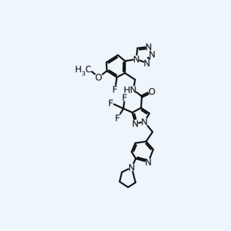 COc1ccc(-n2cnnn2)c(CNC(=O)c2cn(Cc3ccc(N4CCCC4)nc3)nc2C(F)(F)F)c1F